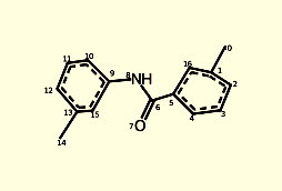 [CH2]c1cccc(C(=O)Nc2cccc(C)c2)c1